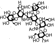 CC(=O)NC1[C@H](OC2[C@@H](O)[C@H](OC([C@H](O)CO)[C@@H](O)[C@@H](O)C=O)O[C@H](COC3O[C@H](CO)[C@@H](O[C@@H]4O[C@H](CO)[C@H](O)[C@H](O)[C@H]4O)[C@H](O)[C@H]3NC(C)=O)[C@H]2O)O[C@H](CO)[C@@H](O)[C@@H]1OC1O[C@H](CO)[C@H](O)[C@H](O)[C@H]1O